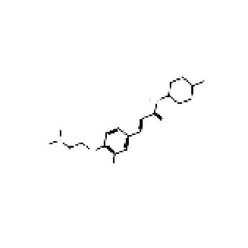 CCN(CC)CCOc1ccc(/C=C/C(=O)NC2CCC(C)CC2)cc1OC